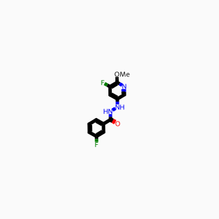 COc1ncc(NNC(=O)c2cccc(F)c2)cc1F